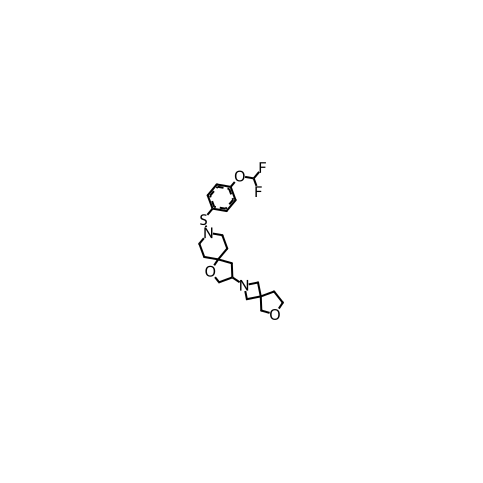 FC(F)Oc1ccc(SN2CCC3(CC2)CC(N2CC4(CCOC4)C2)CO3)cc1